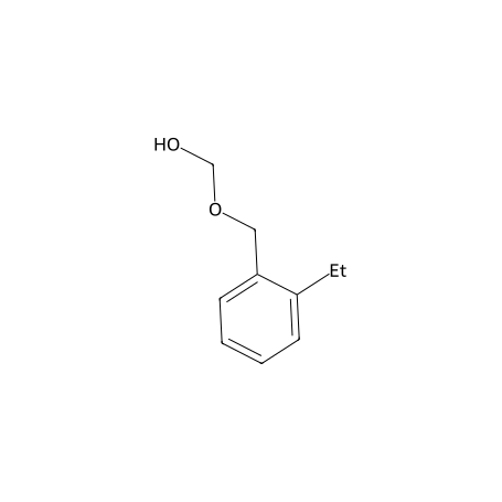 CCc1ccccc1COCO